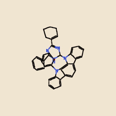 C1=CCCC(n2c3ccccc3c3ccc4c5ccccc5n(C5N=C(C6=CCCCC6)N=C(c6ccccc6)N5)c4c32)=C1